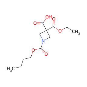 CCCCOC(=O)N1CC(C(=O)O)(C(=O)OCC)C1